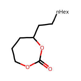 CCCCCCCCC1CCCOC(=O)O1